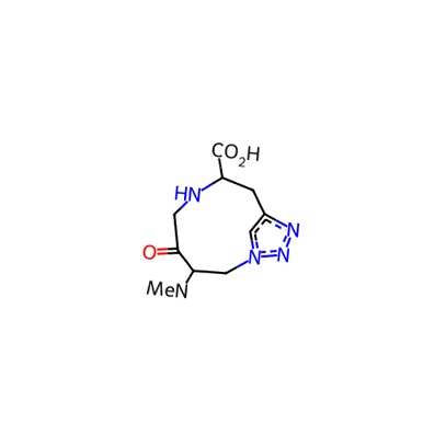 CNC1Cn2cc(nn2)CC(C(=O)O)NCC1=O